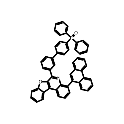 O=P(c1ccccc1)(c1ccccc1)c1ccc(-c2cccc(-c3nc4c(-c5cc6ccccc6c6ccccc56)cccc4c4c3oc3ccccc34)c2)cc1